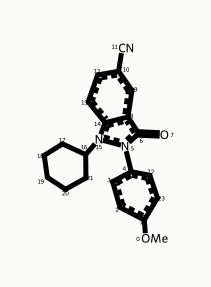 COc1ccc(-n2c(=O)c3cc(C#N)ccc3n2C2CCCCC2)cc1